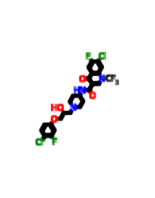 O=C(NC1CCN(C[C@H](O)COc2ccc(Cl)c(F)c2)CC1)c1cn(C(F)(F)F)c2cc(Cl)c(F)cc2c1=O